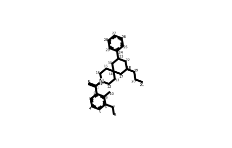 C=C(c1cccc(CC)c1C)N1CCC2(CC1)CC(CCC)CC(c1ccccc1)C2